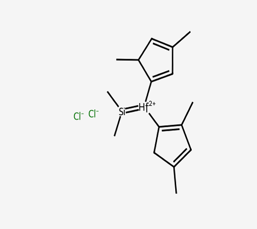 CC1=CC(C)[C]([Hf+2]([C]2=C(C)C=C(C)C2)=[Si](C)C)=C1.[Cl-].[Cl-]